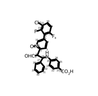 O=CC(c1ccc(-c2c(F)ccc(Cl)c2F)c[n+]1[O-])C(Nc1ccc(C(=O)O)cc1)c1ccccc1